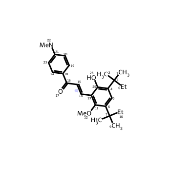 CCC(C)(C)c1cc(C(C)(C)CC)c(OC)c(/C=C/C(=O)c2ccc(NC)cc2)c1O